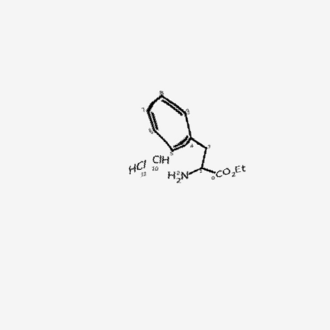 CCOC(=O)C(N)Cc1ccccc1.Cl.Cl